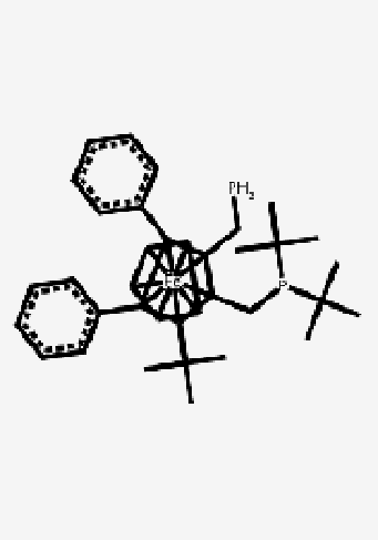 CC(C)(C)P(C[C]12[C]3(CP)[C]4(c5ccccc5)[C]5(c6ccccc6)[C]1(C(C)(C)C)[Fe]32451678[CH]2[CH]1[CH]6[CH]7[CH]28)C(C)(C)C